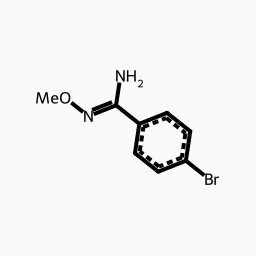 CON=C(N)c1ccc(Br)cc1